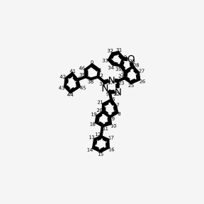 C1=CC(c2nc(-c3ccc4cc(-c5ccccc5)ccc4c3)nc(-c3cccc4oc5ccccc5c34)n2)CC(c2ccccc2)=C1